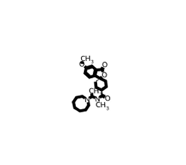 COc1ccc2c(c1)C(=O)O[C@]21CC[C@H](C(=O)N(C)C(C)N2CCCCCCC2)CC1